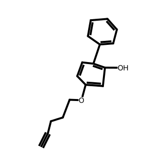 C#CCCCOc1ccc(-c2ccccc2)c(O)c1